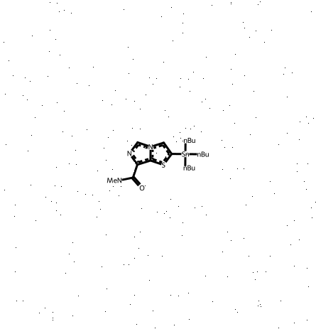 CCC[CH2][Sn]([CH2]CCC)([CH2]CCC)[c]1cn2cnc(C(=O)NC)c2s1